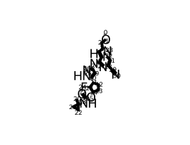 COCc1cc2c(Nc3cc([C@@H]4CC[C@H](OC(=O)NC5(C)CC5)[C@H]4F)[nH]n3)nc(C#N)cn2n1